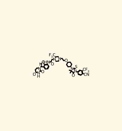 Cn1nc(N2CCC(=O)NC2=O)c2cccc(NC(=O)CN3CCN(CCO[C@H]4CC[C@H](N5C(=S)N(c6ccc(C#N)c(C(F)(F)F)c6)C(=O)C5(C)C)CC4)CC3C(F)(F)F)c21